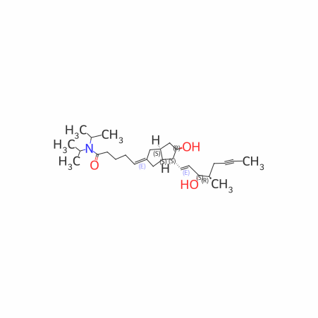 CC#CC[C@@H](C)[C@H](O)/C=C/[C@@H]1[C@H]2C/C(=C/CCCC(=O)N(C(C)C)C(C)C)C[C@H]2C[C@H]1O